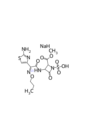 CCCO/N=C(\C(=O)NC1C(=O)N(S(=O)(=O)O)C1C(=O)OC)c1csc(N)n1.[NaH]